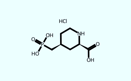 Cl.O=C(O)[C@H]1C[C@@H](CP(=O)(O)O)CCN1